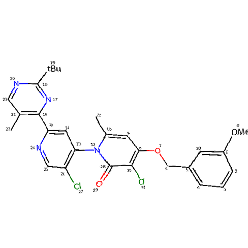 COc1cccc(COc2cc(C)n(-c3cc(-c4nc(C(C)(C)C)ncc4C)ncc3Cl)c(=O)c2Cl)c1